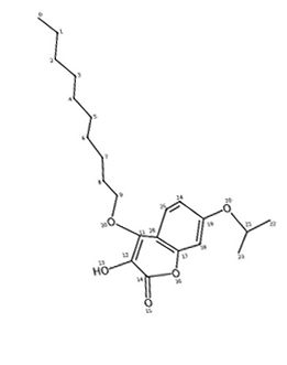 CCCCCCCCCCOc1c(O)c(=O)oc2cc(OC(C)C)ccc12